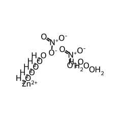 O.O.O.O.O.O.O.O.O=[N+]([O-])[O-].O=[N+]([O-])[O-].[Zn+2]